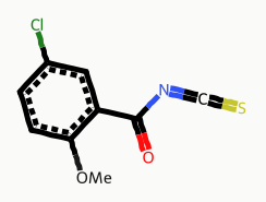 COc1ccc(Cl)cc1C(=O)N=C=S